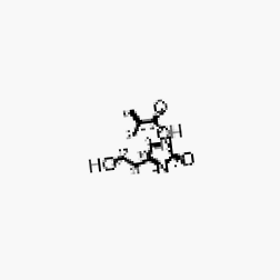 C=C(C)C(=O)O.O=C1N=CC(CCO)=N1